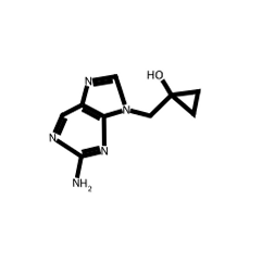 Nc1ncc2ncn(CC3(O)CC3)c2n1